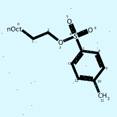 CCCCCCCCCCOS(=O)(=O)c1ccc(C)cc1